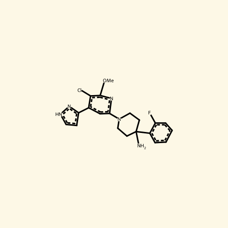 COc1nc(N2CCC(N)(c3ccccc3F)CC2)cc(-c2cc[nH]n2)c1Cl